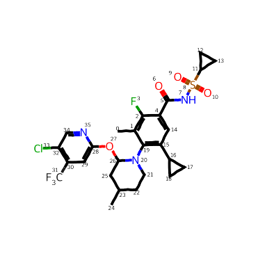 Cc1c(F)c(C(=O)NS(=O)(=O)C2CC2)cc(C2CC2)c1N1CCC(C)CC1Oc1cc(C(F)(F)F)c(Cl)cn1